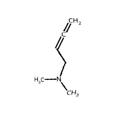 C=C=CCN(C)C